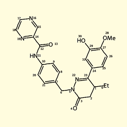 CCC1CC(=O)N(Cc2ccc(NC(=O)c3cnccn3)cc2)N=C1c1ccc(OC)c(O)c1